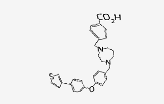 O=C(O)c1ccc(CN2CCCN(Cc3ccc(Oc4ccc(-c5ccsc5)cc4)cc3)CC2)cc1